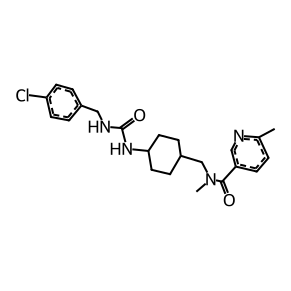 Cc1ccc(C(=O)N(C)CC2CCC(NC(=O)NCc3ccc(Cl)cc3)CC2)cn1